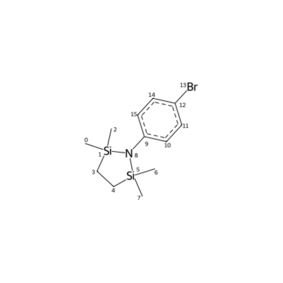 C[Si]1(C)CC[Si](C)(C)N1c1ccc(Br)cc1